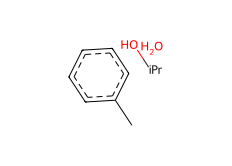 CC(C)O.Cc1ccccc1.O